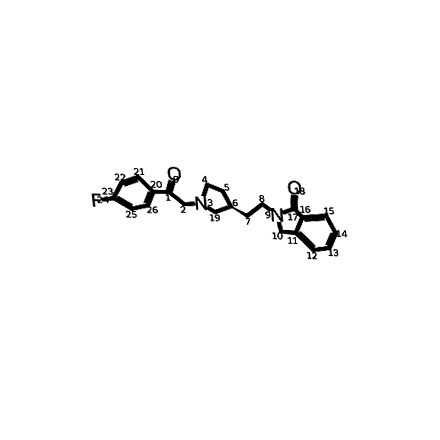 O=C(CN1CC[C@@H](CCN2Cc3ccccc3C2=O)C1)c1ccc(F)cc1